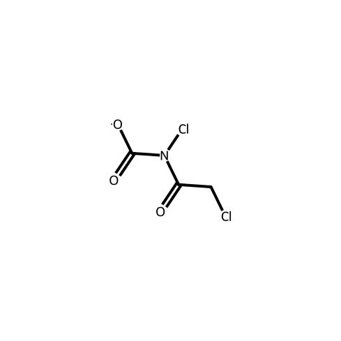 [O]C(=O)N(Cl)C(=O)CCl